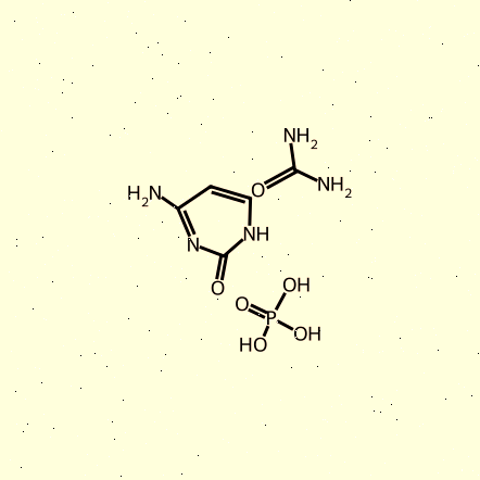 NC(N)=O.Nc1cc[nH]c(=O)n1.O=P(O)(O)O